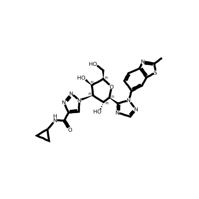 Cc1nc2ccc(-n3ncnc3[C@@H]3O[C@H](CO)[C@H](O)[C@H](n4cc(C(=O)NC5CC5)nn4)[C@H]3O)cc2s1